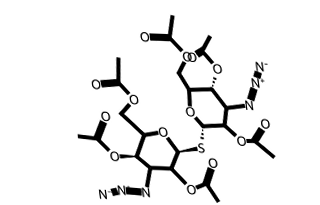 CC(=O)OCC1O[C@@H](S[C@@H]2OC(COC(C)=O)[C@H](OC(C)=O)C(N=[N+]=[N-])C2OC(C)=O)C(OC(C)=O)C(N=[N+]=[N-])[C@H]1OC(C)=O